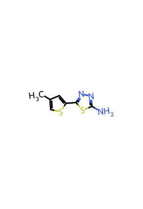 Cc1csc(-c2nnc(N)s2)c1